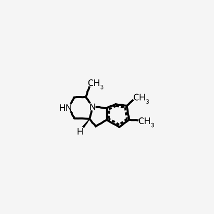 Cc1cc2c(cc1C)N1C(C)CNC[C@H]1C2